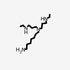 CCNCCCN(CCCCCCCN)CCCNCC